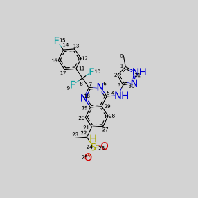 Cc1cc(Nc2nc(C(F)(F)c3ccc(F)cc3)nc3cc(C(C)[SH](=O)=O)ccc23)n[nH]1